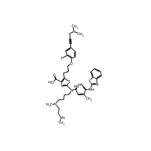 CNCCN(C)CCCCN(C(=N)/C=C(/C)C(=N)Nc1nc2ccccc2s1)c1nc(C(=O)O)c(CCCOc2ccc(C#CCN(C)C)cc2F)s1